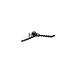 CCCCCCCCCCCCCCCCOCC(CCCCCCCCCCCCCC)OPOC